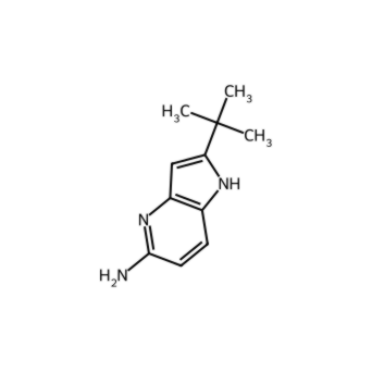 CC(C)(C)c1cc2nc(N)ccc2[nH]1